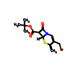 C=C1S[C@@H]2C(C(=O)OC(C)(C)C)C(=O)N2C=C1CBr